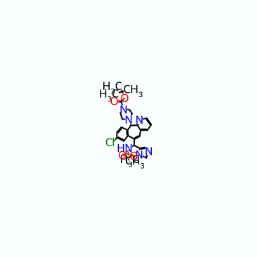 Cn1cncc1C(NS(C)(=O)=O)C1=Cc2cccnc2[C@@H](N2CCN(C(=O)OC(C)(C)C)CC2)c2ccc(Cl)cc21